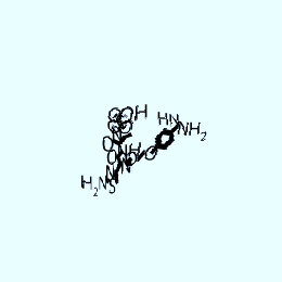 CC1C(NC(=O)C(=NOCCOc2ccc(C(=N)N)cc2)c2csc(N)n2)C(=O)N1OS(=O)(=O)O